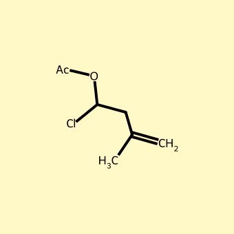 C=C(C)CC(Cl)OC(C)=O